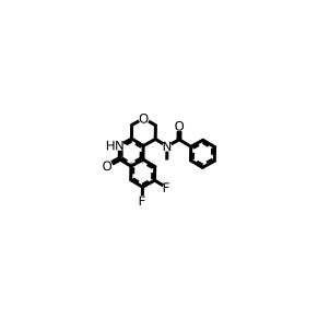 CN(C(=O)c1ccccc1)C1COCc2[nH]c(=O)c3cc(F)c(F)cc3c21